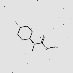 CCCCOC(=O)N(C)[C@H]1CC[C@H](C)CC1